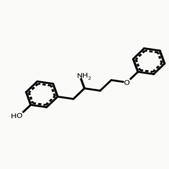 NC(CCOc1ccccc1)Cc1cccc(O)c1